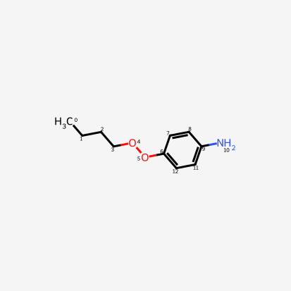 CCCCOOc1ccc(N)cc1